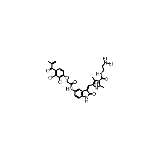 C=C(C)C(=O)c1ccc(OCC(=O)Nc2ccc3c(c2)/C(=C/c2[nH]c(C)c(C(=O)NCCN(CC)CC)c2C)C(=O)N3)c(Cl)c1Cl